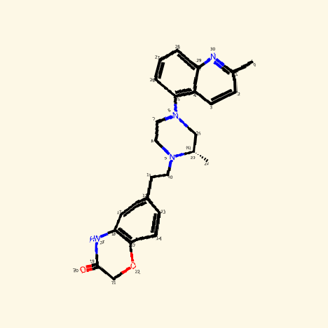 Cc1ccc2c(N3CCN(CCc4ccc5c(c4)NC(=O)CO5)[C@@H](C)C3)cccc2n1